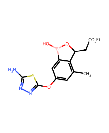 CCOC(=O)C[C@@H]1OB(O)c2cc(Oc3nnc(N)s3)cc(C)c21